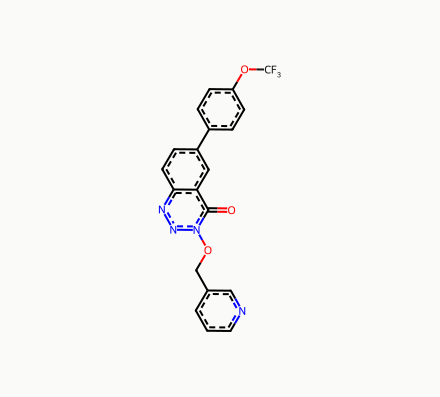 O=c1c2cc(-c3ccc(OC(F)(F)F)cc3)ccc2nnn1OCc1cccnc1